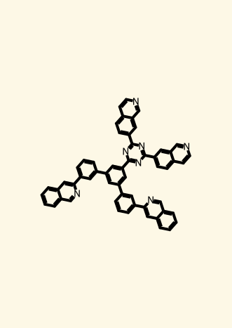 c1cc(-c2cc(-c3cccc(-c4cc5ccccc5cn4)c3)cc(-c3nc(-c4ccc5ccncc5c4)nc(-c4ccc5ccncc5c4)n3)c2)cc(-c2cc3ccccc3cn2)c1